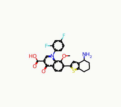 COc1c(-c2cc3c(s2)CCCC3N)ccc2c(=O)c(C(=O)O)cn(-c3ccc(F)cc3F)c12